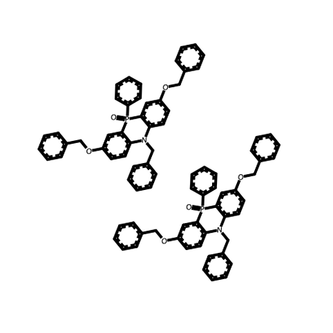 O=P1(c2ccccc2)c2cc(OCc3ccccc3)ccc2N(Cc2ccccc2)c2ccc(OCc3ccccc3)cc21.O=P1(c2ccccc2)c2cc(OCc3ccccc3)ccc2N(Cc2ccccc2)c2ccc(OCc3ccccc3)cc21